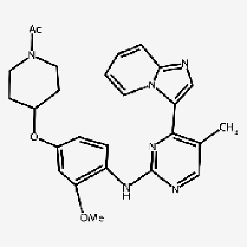 COc1cc(OC2CCN(C(C)=O)CC2)ccc1Nc1ncc(C)c(-c2cnc3ccccn23)n1